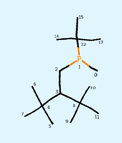 CP(CC(C(C)(C)C)C(C)(C)C)C(C)(C)C